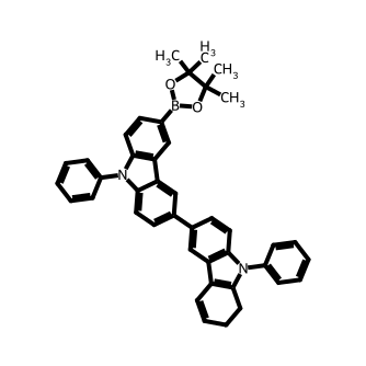 CC1(C)OB(c2ccc3c(c2)c2cc(-c4ccc5c(c4)c4c(n5-c5ccccc5)CCC=C4)ccc2n3-c2ccccc2)OC1(C)C